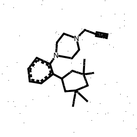 C#CCN1CCN(c2ccccc2C2CC(C)(C)CC(C)(C)C2)CC1